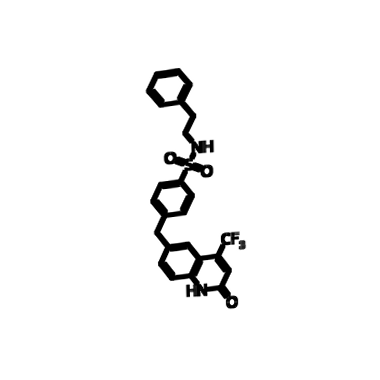 O=c1cc(C(F)(F)F)c2cc(Cc3ccc(S(=O)(=O)NCCc4ccccc4)cc3)ccc2[nH]1